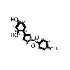 Cc1ccc(S(=O)(=O)N2CCC(c3ccc(O)cc3O)C2)cc1